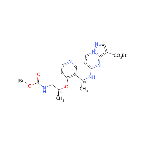 CCOC(=O)c1cnn2ccc(N[C@H](C)c3cnccc3O[C@@H](C)CNC(=O)OC(C)(C)C)nc12